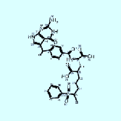 CC(c1ccc(C(=O)N[C@@H](CC(CCCC(C)S(=O)(=O)c2ccccc2)C(=O)O)C(=O)O)cc1)c1c[nH]c2nc(N)[nH]c(=O)c12